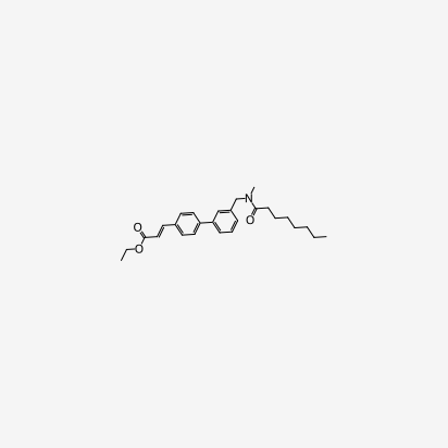 CCCCCCCC(=O)N(C)Cc1cccc(-c2ccc(/C=C/C(=O)OCC)cc2)c1